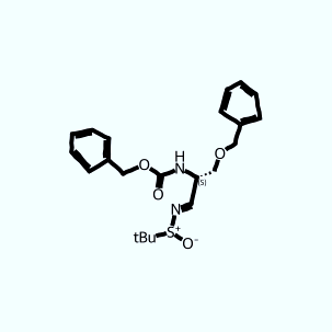 CC(C)(C)[S+]([O-])N=C[C@@H](COCc1ccccc1)NC(=O)OCc1ccccc1